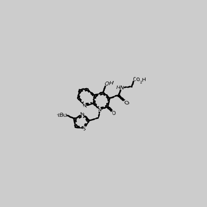 CC(C)(C)c1csc(Cn2c(=O)c(C(=O)NCC(=O)O)c(O)c3cccnc32)n1